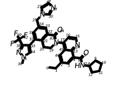 CCc1cc(C(=O)NC2CCCC2)c2nccc(N3CCc4c(cc(Cn5ccnc5)cc4-c4cn(C)nc4C(F)(F)F)C3=O)c2c1